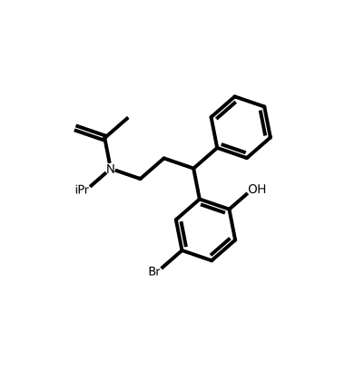 C=C(C)N(CCC(c1ccccc1)c1cc(Br)ccc1O)C(C)C